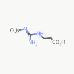 N/C(=N\[N+](=O)[O-])NCCC(=O)O